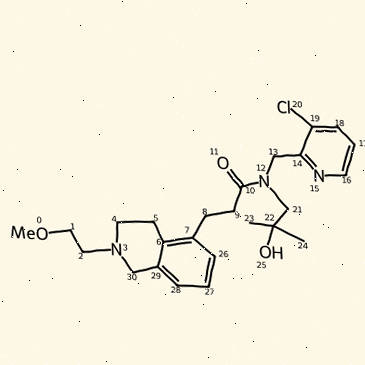 COCCN1CCc2c(CCC(=O)N(Cc3ncccc3Cl)CC(C)(C)O)cccc2C1